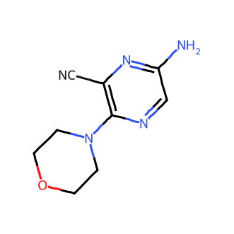 N#Cc1nc(N)cnc1N1CCOCC1